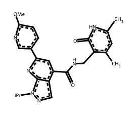 COc1ccc(-c2cc(C(=O)NCc3c(C)cc(C)[nH]c3=O)c3cnn(C(C)C)c3n2)cn1